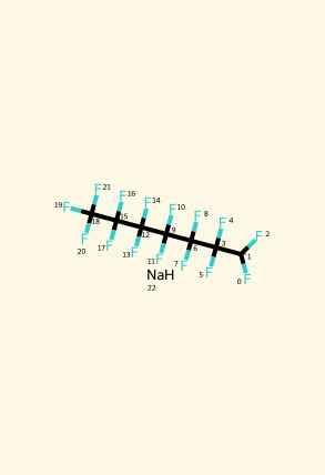 F[C](F)C(F)(F)C(F)(F)C(F)(F)C(F)(F)C(F)(F)C(F)(F)F.[NaH]